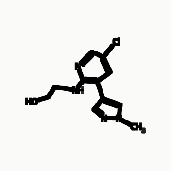 Cn1cc(-c2cc(Cl)cnc2NCCO)cn1